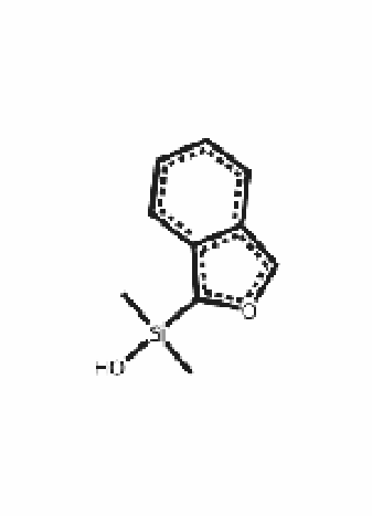 C[Si](C)(O)c1occ2ccccc12